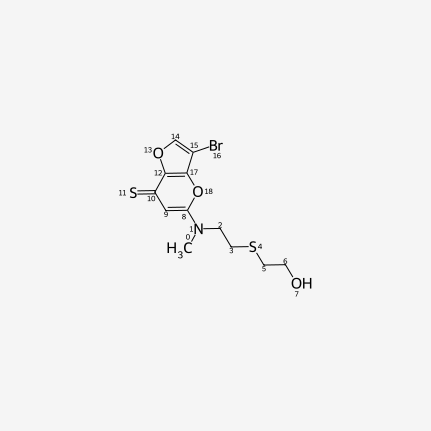 CN(CCSCCO)c1cc(=S)c2occ(Br)c2o1